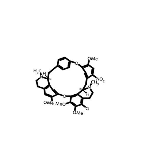 COc1cc([N+](=O)[O-])c2cc1Oc1ccc(cc1)C[C@H]1c3cc(c(OC)cc3CCN1C)Oc1c(OC)c(OC)c(Cl)c3c1[C@H](C2)N(C)CC3